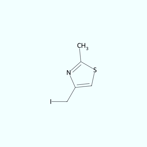 Cc1nc(CI)cs1